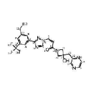 O=C(/C=C\n1cnc(-c2cc(CF)cc(C(F)(F)F)c2)n1)N1CC(O)(Cc2cnccn2)C1